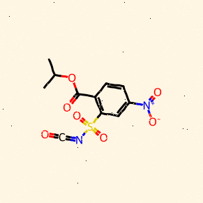 CC(C)OC(=O)c1ccc([N+](=O)[O-])cc1S(=O)(=O)N=C=O